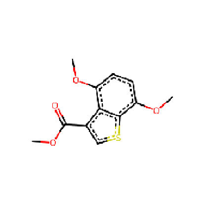 COC(=O)c1csc2c(OC)ccc(OC)c12